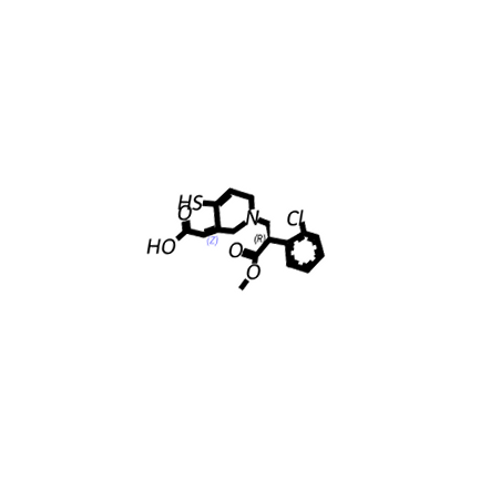 COC(=O)[C@@H](CN1CC=C(S)/C(=C\C(=O)O)C1)c1ccccc1Cl